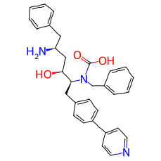 N[C@@H](Cc1ccccc1)C[C@H](O)[C@H](Cc1ccc(-c2ccncc2)cc1)N(Cc1ccccc1)C(=O)O